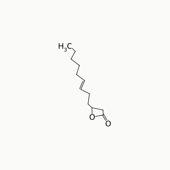 CCCCCC=CCCC1CC(=O)O1